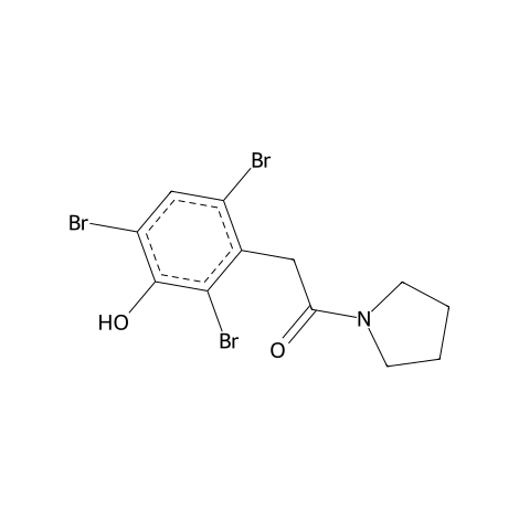 O=C(Cc1c(Br)cc(Br)c(O)c1Br)N1CCCC1